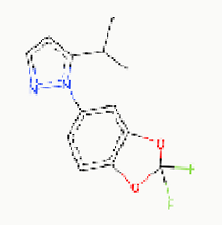 CC(C)c1ccnn1-c1ccc2c(c1)OC(F)(F)O2